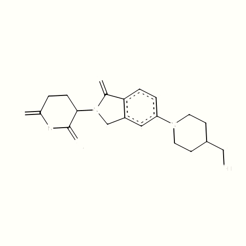 O=C1CCC(N2Cc3cc(N4CCC(CO)CC4)ccc3C2=O)C(=O)N1